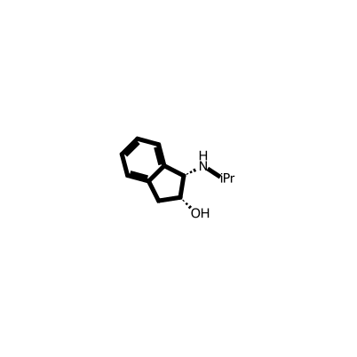 CC(C)N[C@H]1c2ccccc2C[C@H]1O